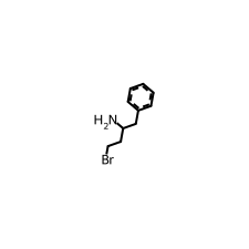 NC(CCBr)Cc1ccccc1